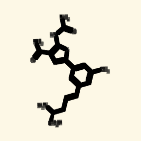 Cc1cc(/C=C/C[C@H](N)C(=O)O)cc(-c2cc(C(N)=O)c(NC(N)=O)s2)c1